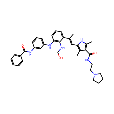 C/C(=C\c1[nH]c(C)c(C(=O)NCCN2CCCC2)c1C)c1cccc(Nc2cccc(NC(=O)c3ccccc3)c2)c1NCO